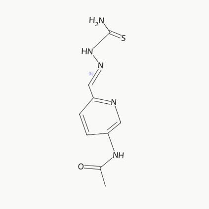 CC(=O)Nc1ccc(/C=N/NC(N)=S)nc1